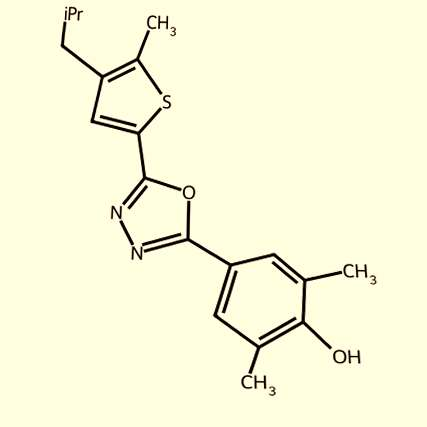 Cc1cc(-c2nnc(-c3cc(CC(C)C)c(C)s3)o2)cc(C)c1O